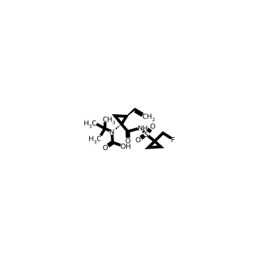 C=C[C@@H]1C[C@@]1(C(=O)NS(=O)(=O)C1(CF)CC1)N(C(=O)O)C(C)(C)C